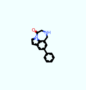 O=C1CNCc2cc(-c3ccccc3)cc3ccn1c23